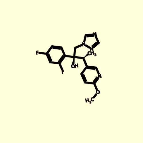 COc1ccc([C@@H](C)[C@@](O)(Cn2cncn2)c2ccc(F)cc2F)cn1